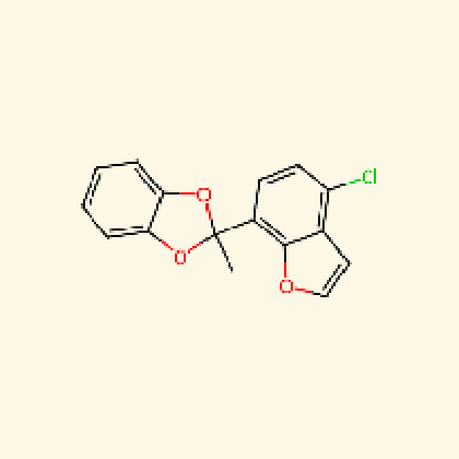 CC1(c2ccc(Cl)c3ccoc23)Oc2ccccc2O1